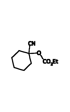 CCOC(=O)OC1(C#N)CCCCC1